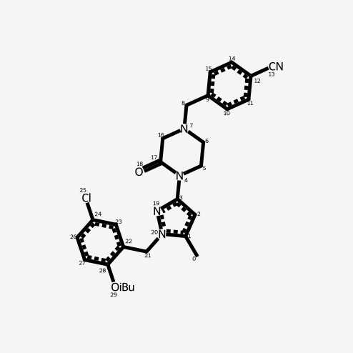 Cc1cc(N2CCN(Cc3ccc(C#N)cc3)CC2=O)nn1Cc1cc(Cl)ccc1OCC(C)C